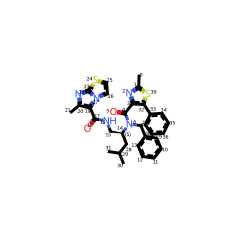 Cc1nc(C(=O)N(Cc2ccccc2)[C@H](CNC(=O)c2c(C)nc3sccn23)CC(C)C)c(-c2ccccc2)s1